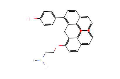 CCN(CC)CCOc1ccc2ccccc2c1Cc1c(-c2ccc(O)cc2)ccc2ccccc12